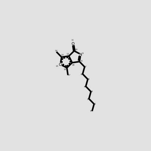 CCCCCCCCC1=NC(=O)c2c(C)oc(C)c21